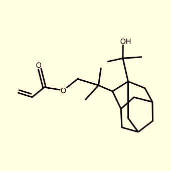 C=CC(=O)OCC(C)(C)C1C2CC3CC(C2)CC1(C(C)(C)O)C3